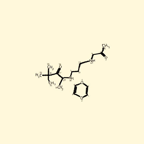 C1=COC=CO1.CC(=O)CNCCCNC(C)C(=O)C(C)(C)C